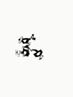 COc1ccc(Cn2c(Sc3cc4c(cc3N(C)C)OCO4)nc3c(N)nccc32)cc1